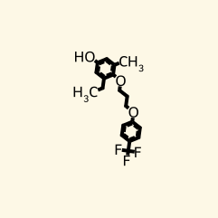 CCc1cc(O)cc(C)c1OCCCOc1ccc(C(F)(F)F)cc1